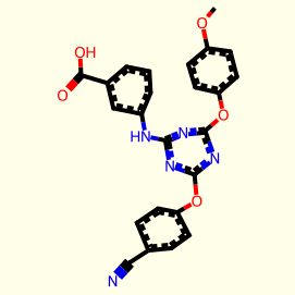 COc1ccc(Oc2nc(Nc3cccc(C(=O)O)c3)nc(Oc3ccc(C#N)cc3)n2)cc1